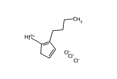 CCCCC1=[C]([Hf+3])CC=C1.[Cl-].[Cl-].[Cl-]